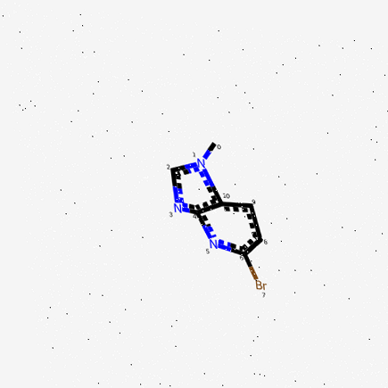 Cn1cnc2nc(Br)ccc21